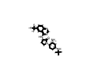 CC(C)(C)N[C@@H]1CC[C@H](N2CC[C@H](Nc3ncnc4ccc(C(F)(F)F)cc34)C2=O)[C@H](N)C1